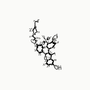 CC1=C(c2ccc(Cl)c(S(C)(=O)=O)c2)[C@H](c2ccc(OCCN3CC(CF)C3)cc2)Oc2ccc(O)cc21